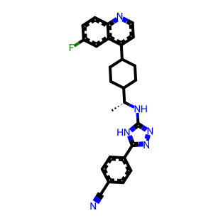 C[C@@H](Nc1nnc(-c2ccc(C#N)cc2)[nH]1)C1CCC(c2ccnc3ccc(F)cc23)CC1